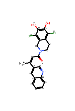 C/C(=C/C(=O)N1CCc2c(Cl)c(O)c(O)c(Cl)c2C1)c1cnc2ccccc2c1